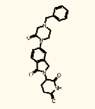 O=C1CCC(N2Cc3cc(N4CCN(Cc5ccccc5)CC4=O)ccc3C2=O)C(=O)N1